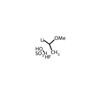 F.O=S(=O)(O)O.[Li][CH](C)OC